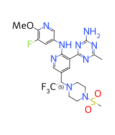 COc1ncc(Nc2ncc([C@H](N3CCN(S(C)(=O)=O)CC3)C(F)(F)F)cc2-c2nc(C)nc(N)n2)cc1F